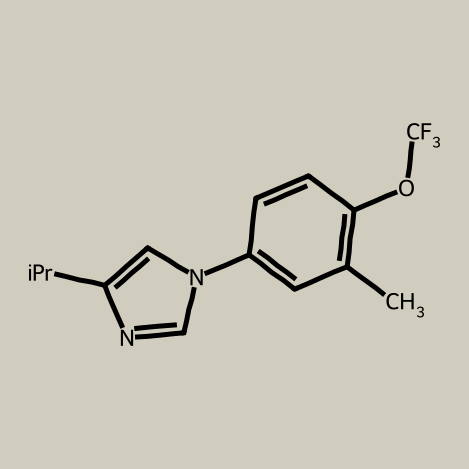 Cc1cc(-n2cnc(C(C)C)c2)ccc1OC(F)(F)F